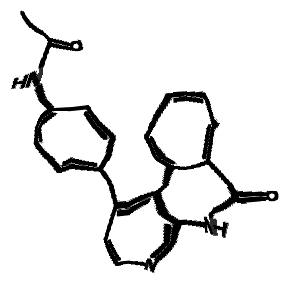 CC(=O)Nc1ccc(-c2ccnc3[nH]c(=O)c4ccccc4c23)cc1